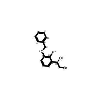 O[C@@H](CBr)c1cccc(OCc2ccccc2)c1F